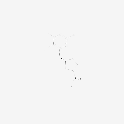 CC(C)(C)OC(=O)N1CC[C@H](Oc2nc(N)cc(Cl)c2C(=O)O)C1